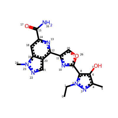 CCn1nc(C)c(O)c1-c1nc(-c2nc(C(N)=O)cc3c2cnn3C)co1